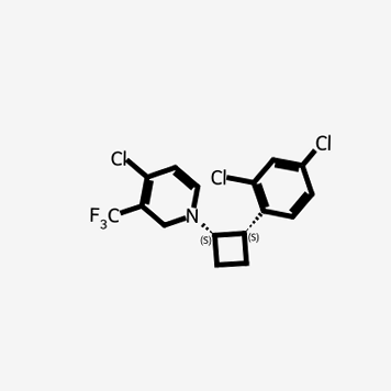 FC(F)(F)C1=C(Cl)C=CN([C@H]2CC[C@H]2c2ccc(Cl)cc2Cl)C1